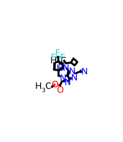 CCOC(=O)c1nc2nc(C#N)nc(NC(C)C3CCC3)c2n1Cc1ccc(C(F)(F)F)cc1